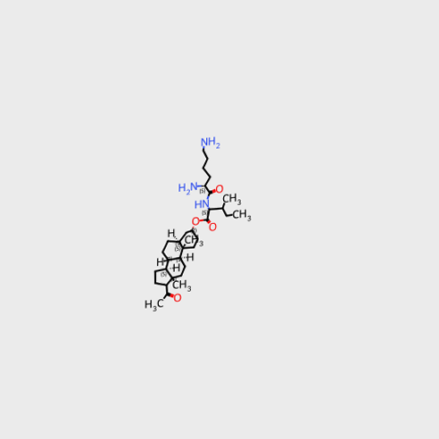 CCC(C)[C@H](NC(=O)[C@@H](N)CCCCN)C(=O)O[C@@H]1CC[C@@]2(C)[C@@H](CC[C@@H]3[C@@H]2CC[C@]2(C)C(C(C)=O)CC[C@@H]32)C1